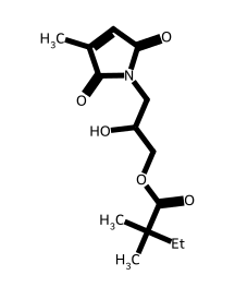 CCC(C)(C)C(=O)OCC(O)CN1C(=O)C=C(C)C1=O